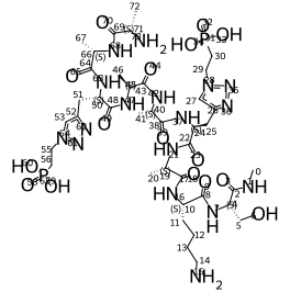 CNC(=O)[C@H](CO)NC(=O)[C@H](CCCCN)NC(=O)[C@H](C)NC(=O)[C@H](Cc1cn(CCP(=O)(O)O)nn1)NC(=O)[C@H](C)NC(=O)[C@H](C)NC(=O)[C@H](Cc1cn(CCP(=O)(O)O)nn1)NC(=O)[C@H](C)NC(=O)[C@H](C)N